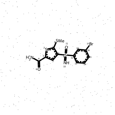 CSc1sc(C(N)=O)cc1S(=N)(=O)c1cccc(Br)c1